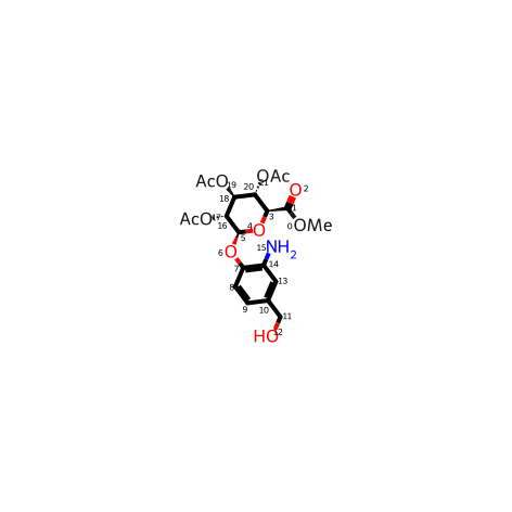 COC(=O)[C@H]1O[C@@H](Oc2ccc(CO)cc2N)[C@H](OC(C)=O)[C@@H](OC(C)=O)[C@@H]1OC(C)=O